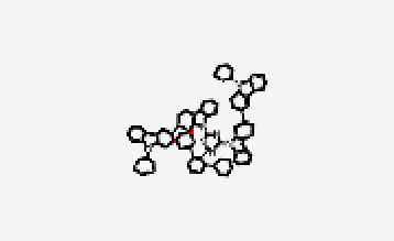 c1ccc(-c2cccc(-c3ccccc3)c2-c2nc(-n3c4ccccc4c4ccc(-c5ccc6c(c5)c5ccccc5n6-c5ccccc5)cc43)nc(-n3c4ccccc4c4ccc(-c5ccc6c(c5)c5ccccc5n6-c5ccccc5)cc43)n2)cc1